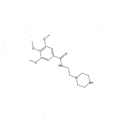 COc1cc(C(=O)NCCN2CCNCC2)cc(OC)c1OC